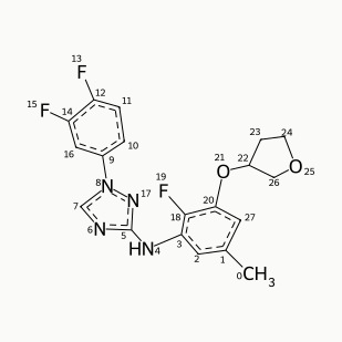 Cc1cc(Nc2ncn(-c3ccc(F)c(F)c3)n2)c(F)c(OC2CCOC2)c1